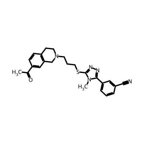 CC(=O)c1ccc2c(c1)CN(CCCSc1nnc(-c3cccc(C#N)c3)n1C)CC2